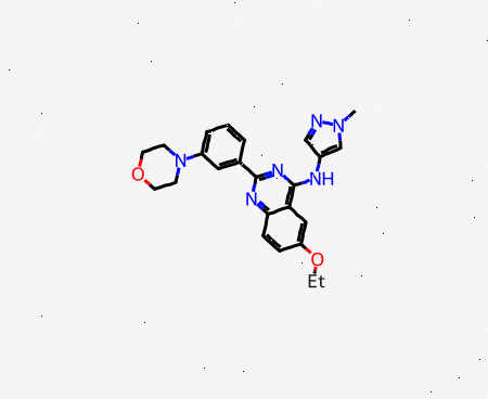 CCOc1ccc2nc(-c3cccc(N4CCOCC4)c3)nc(Nc3cnn(C)c3)c2c1